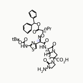 CCC[C@H](O/N=C(\C(=O)N[C@@H]1C(=O)N2C[C@@](C(=O)O)(N3CCN(N)C3=O)S[C@H]12)c1csc(NC(=O)OC(C)(C)C)n1)C(=O)OC(c1ccccc1)c1ccccc1